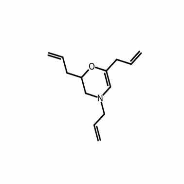 C=CCC1=CN(CC=C)CC(CC=C)O1